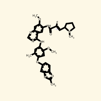 COc1cc2ncnc(Nc3cc(C)c(Oc4ccc5oc(C)nc5c4)cc3OC)c2cc1NC(=O)/C(F)=C/C1CCCN1C